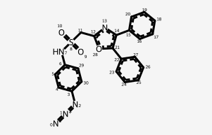 [N-]=[N+]=Nc1ccc(NS(=O)(=O)Cc2nc(-c3ccccc3)c(-c3ccccc3)o2)cc1